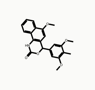 COc1cc(C2OC(=O)Nc3c2cc(OC)c2ccccc32)cc(OC)c1C